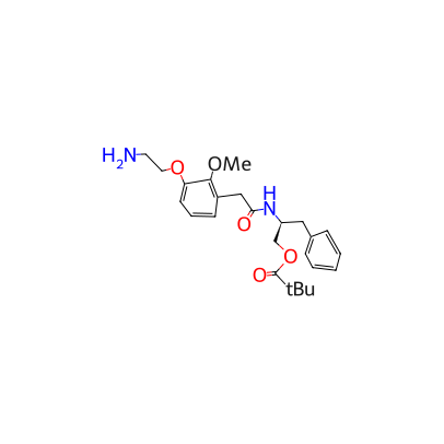 COc1c(CC(=O)N[C@H](COC(=O)C(C)(C)C)Cc2ccccc2)cccc1OCCN